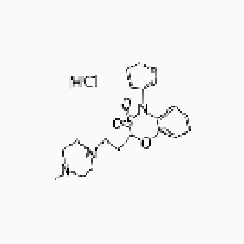 CN1CCN(CCC2Oc3ccccc3N(c3ccccc3)S2(=O)=O)CC1.Cl